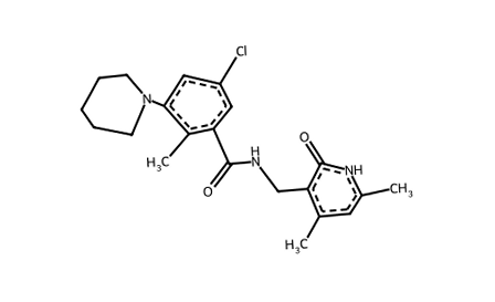 Cc1cc(C)c(CNC(=O)c2cc(Cl)cc(N3CCCCC3)c2C)c(=O)[nH]1